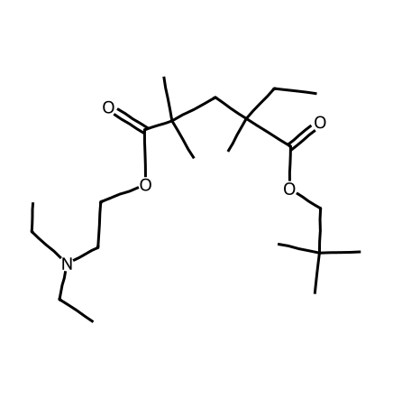 CCN(CC)CCOC(=O)C(C)(C)CC(C)(CC)C(=O)OCC(C)(C)C